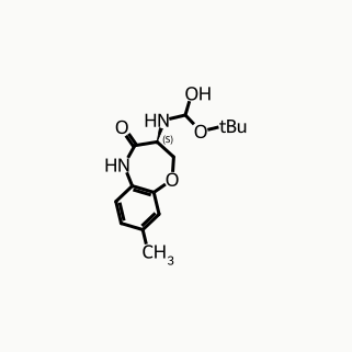 Cc1ccc2c(c1)OC[C@H](NC(O)OC(C)(C)C)C(=O)N2